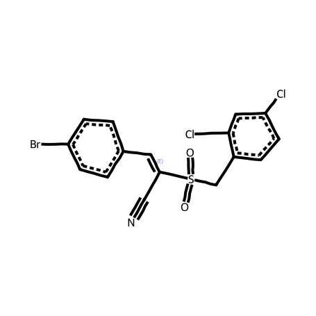 N#C/C(=C\c1ccc(Br)cc1)S(=O)(=O)Cc1ccc(Cl)cc1Cl